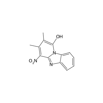 Cc1c(C)c(O)n2c(nc3ccccc32)c1[N+](=O)[O-]